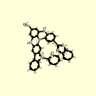 CC(C)(C)c1cc2c3c(c1)Nc1cc4c5ccccc5n(-c5ccccn5)c4cc1B3c1cc(-c3nc4ccccc4s3)ccc1N2